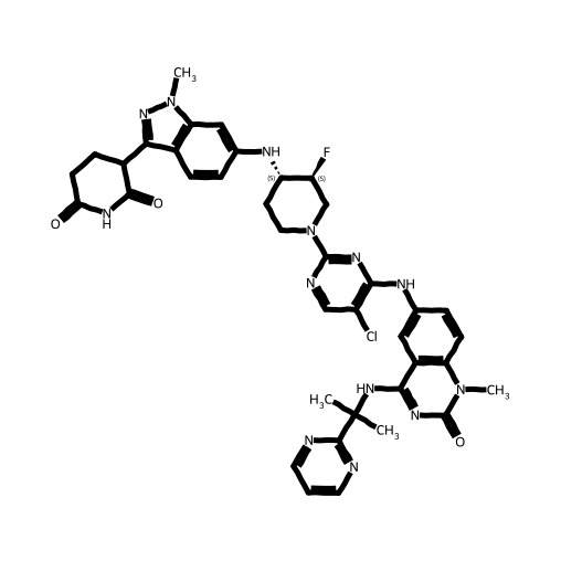 Cn1nc(C2CCC(=O)NC2=O)c2ccc(N[C@H]3CCN(c4ncc(Cl)c(Nc5ccc6c(c5)c(NC(C)(C)c5ncccn5)nc(=O)n6C)n4)C[C@@H]3F)cc21